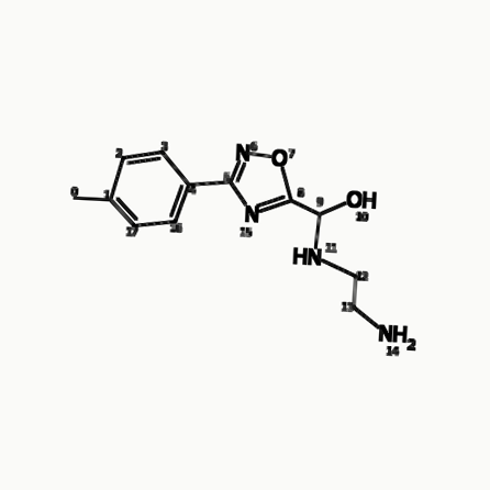 Cc1ccc(-c2noc(C(O)NCCN)n2)cc1